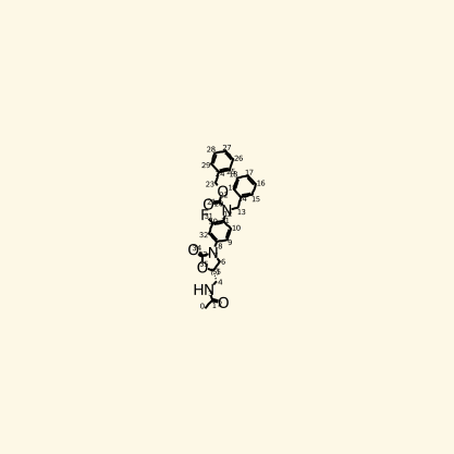 CC(=O)NC[C@H]1CN(c2ccc(N(Cc3ccccc3)C(=O)OCc3ccccc3)c(F)c2)C(=O)O1